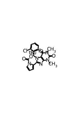 Cn1c(=O)c2c(nc(-c3cccn3C(=O)OC(C)(C)C)n2Cc2c(F)cccc2Cl)n(C)c1=O